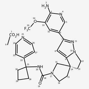 CC(=O)O.Nc1ncc(-c2cc3n(n2)CC[C@@]32CCN(C(=O)NC3(c4ccncc4)CCC3)C2)cc1OC(F)(F)F